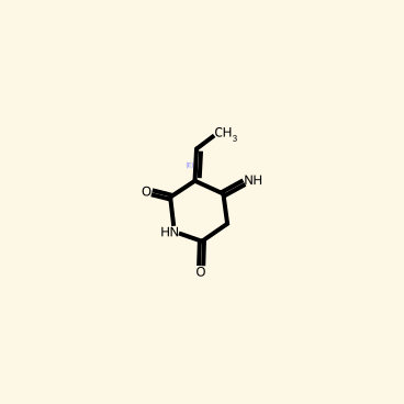 C/C=C1\C(=N)CC(=O)NC1=O